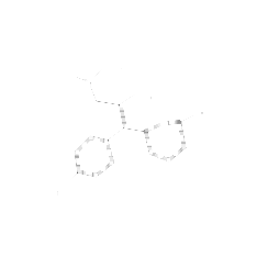 C/C(CN(C)C)=C(/c1ccc(C)cc1)c1cccc(O)c1